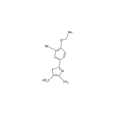 Cc1nc(-c2ccc(OCC(C)(C)C)c(C#N)c2)sc1C(=O)O